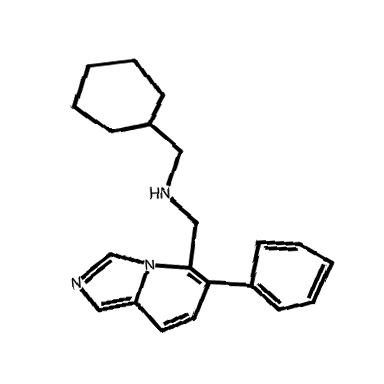 c1ccc(-c2ccc3cncn3c2CNCC2CCCCC2)cc1